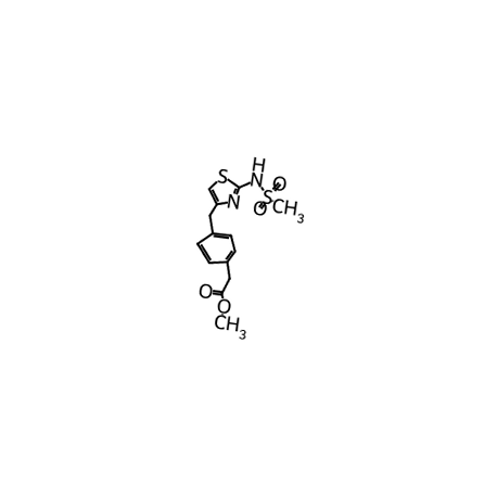 COC(=O)Cc1ccc(Cc2csc(NS(C)(=O)=O)n2)cc1